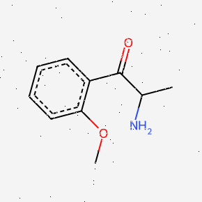 COc1ccccc1C(=O)C(C)N